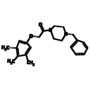 Cc1cc(OCC(=O)N2CCN(Cc3ccccc3)CC2)cc(C)c1C